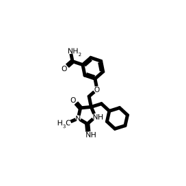 CN1C(=N)NC(COc2cccc(C(N)=O)c2)(CC2CCCCC2)C1=O